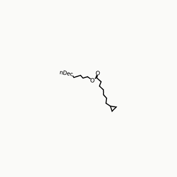 CCCCCCCCCCCCCCOC(=O)CCCCCCC1CC1